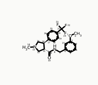 COc1cccc(CNC(=O)[C@@H]2CN(C)C[C@H]2c2ccc(C(F)(F)F)cc2)c1